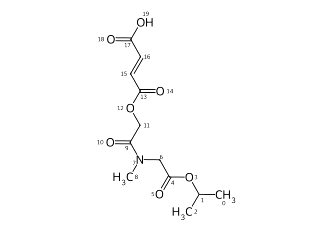 CC(C)OC(=O)CN(C)C(=O)COC(=O)/C=C/C(=O)O